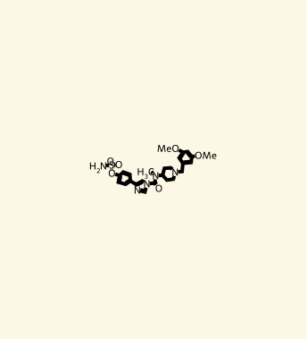 COc1cc(CN2CCC(N(C)C(=O)n3cnc(-c4ccc(OS(N)(=O)=O)cc4)c3)CC2)cc(OC)c1